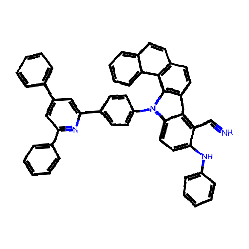 N=Cc1c(Nc2ccccc2)ccc2c1c1ccc3ccc4ccccc4c3c1n2-c1ccc(-c2cc(-c3ccccc3)cc(-c3ccccc3)n2)cc1